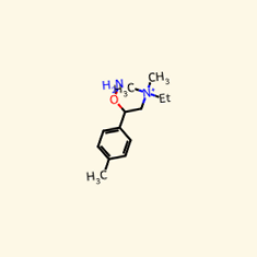 CC[N+](C)(C)CC(ON)c1ccc(C)cc1